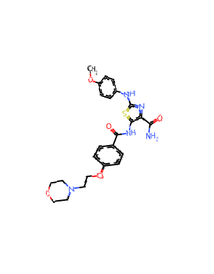 COc1ccc(Nc2nc(C(N)=O)c(NC(=O)c3ccc(OCCN4CCOCC4)cc3)s2)cc1